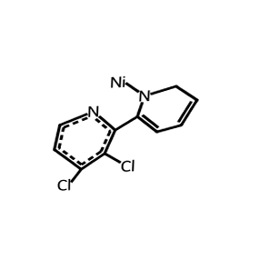 Clc1ccnc(C2=CC=CC[N]2[Ni])c1Cl